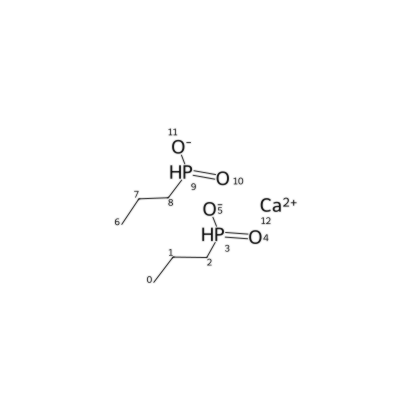 CCC[PH](=O)[O-].CCC[PH](=O)[O-].[Ca+2]